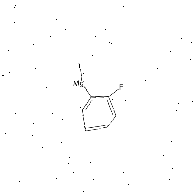 Fc1cccc[c]1[Mg][I]